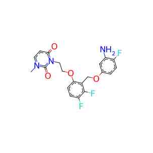 Cn1ccc(=O)n(CCOc2ccc(F)c(F)c2COc2ccc(F)c(N)c2)c1=O